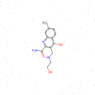 Cc1ccc2c(O)c(CNCCO)c(C(N)=O)nc2c1